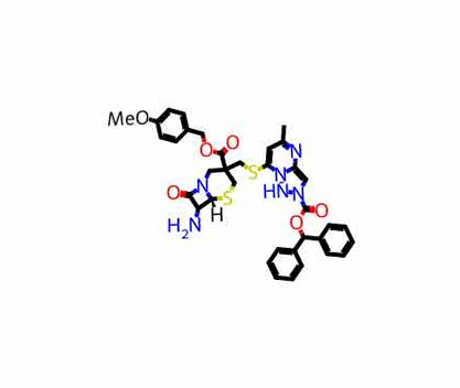 COc1ccc(COC(=O)C2(CSC3=CC(C)=NC4=CN(C(=O)OC(c5ccccc5)c5ccccc5)NN43)CS[C@@H]3C(N)C(=O)N3C2)cc1